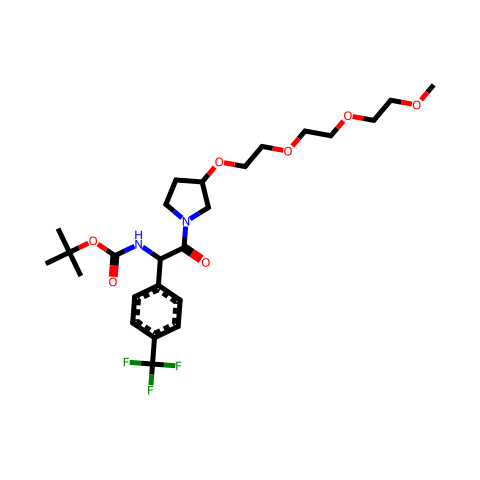 COCCOCCOCCOC1CCN(C(=O)C(NC(=O)OC(C)(C)C)c2ccc(C(F)(F)F)cc2)C1